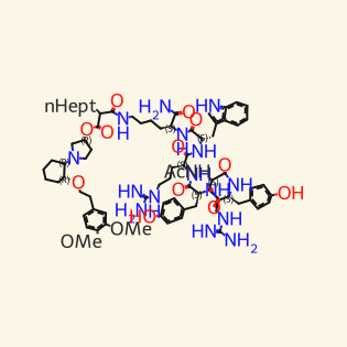 CCCCCCCC(C(=O)NCCCC[C@H](NC(=O)[C@H](Cc1c[nH]c2ccccc12)NC(=O)[C@H](CCCNC(=N)N)NC(=O)[C@H](Cc1ccc(O)cc1)NC(=O)[C@H](Cc1ccc(O)cc1)NC(=O)[C@H](CCCNC(=N)N)NC(C)=O)C(N)=O)C(=O)O[C@@H]1CCN([C@@H]2CCCC[C@H]2OCCc2ccc(OC)c(OC)c2)C1